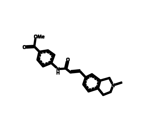 COC(=O)c1ccc(NC(=O)/C=C/c2ccc3c(c2)CN(C)CC3)cc1